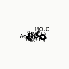 CC[N+]1(CC)C(c2ccccc2)=C(CC(=O)O)NN1n1nnc(C(C)=O)c1C